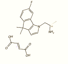 C[C@H](N)Cn1ccc2c1-c1cc(F)ccc1C2(C)C.O=C(O)/C=C/C(=O)O